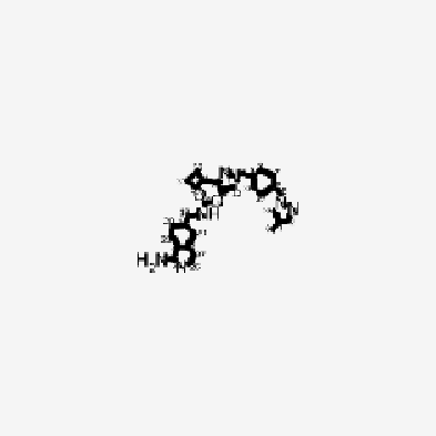 Cc1cnn(Cc2ccc(Cn3cc(OC(=O)NCc4ccc5c(N)nccc5c4)c(C4CCC4)n3)cc2)c1